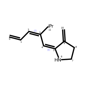 C=C/C=C(\C=C1\NCCC1=C)C(C)C